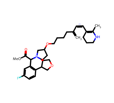 C=C(/C=C\C1=C(C)NCCC1)CCCCOC1CCN(C(C(=O)OC)c2cc(F)ccc2C2CCOC2)C1